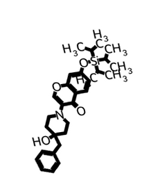 CC(C)[Si](Oc1ccc2c(=O)c(N3CCC(O)(Cc4ccccc4)CC3)coc2c1)(C(C)C)C(C)C